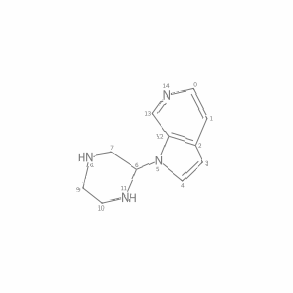 c1cc2ccn(C3CNCCN3)c2cn1